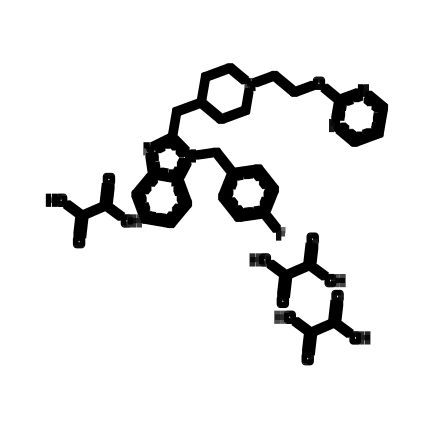 Fc1ccc(Cn2c(CC3CCN(CCOc4ncccn4)CC3)nc3ccccc32)cc1.O=C(O)C(=O)O.O=C(O)C(=O)O.O=C(O)C(=O)O